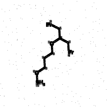 CC(C)CC(CC(C)C)OCCCO[SiH3]